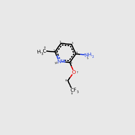 Cc1ccc(N)c(OCC(F)(F)F)n1